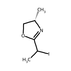 CC(I)C1=N[C@@H](C)CO1